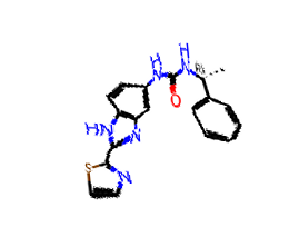 C[C@@H](NC(=O)Nc1ccc2[nH]c(-c3nccs3)nc2c1)c1ccccc1